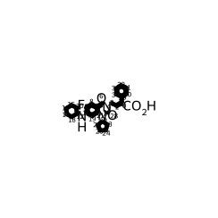 O=C(O)/C(=C/Cn1c(=O)c2cc(F)c(NC3CCCCC3)cc2n(C2CCCC2)c1=O)c1ccccc1